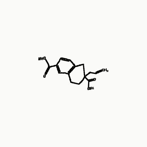 C=CCC1(C(=O)OC)CCc2cc(C(=O)OC)ccc2C1